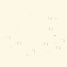 CC(=O)NC1CSCc2ccccc2CSCC(C(N)=O)NC(=O)C(C(C)C)NC(=O)C(C)NC(=O)[C@H](Cc2c[nH]cn2)NC1=O